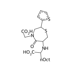 CCCCCCCCC(NC1CSC(c2cccs2)CN(CC(=O)O)C1=O)C(=O)O